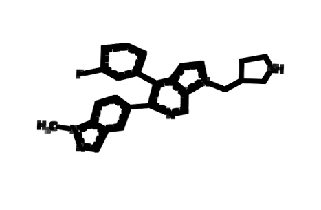 Cn1ncc2cc(-c3ncc4c(ccn4CC4CCNC4)c3-c3cccc(F)c3)ccc21